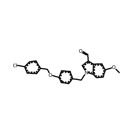 COc1ccc2c(c1)c(C=O)cn2Cc1ccc(OCc2ccc(Cl)cc2)cc1